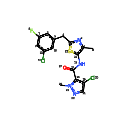 Cc1nc(Cc2cc(F)cc(Cl)c2)sc1NC(=O)c1c(Cl)cnn1C